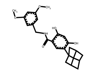 COc1cc(CNC(=O)c2cc(C34CC5CC6CC(C3)C654)c(O)cc2O)cc(OC)c1